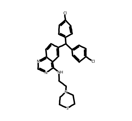 Clc1ccc(C(c2ccc(Cl)cc2)c2ccc3ncnc(NCCN4CCSCC4)c3c2)cc1